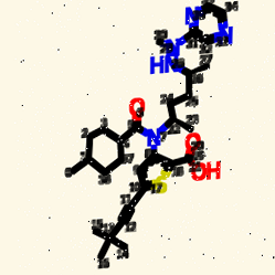 CC1CCC(C(=O)N(c2cc(C#CC(C)(C)C)sc2C(=O)O)[C@H](C)CC[C@H](C)NN(C)c2cnccn2)CC1